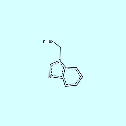 CCCCCCCn1cnc2ccccc21